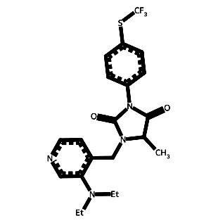 CCN(CC)c1cnccc1CN1C(=O)N(c2ccc(SC(F)(F)F)cc2)C(=O)C1C